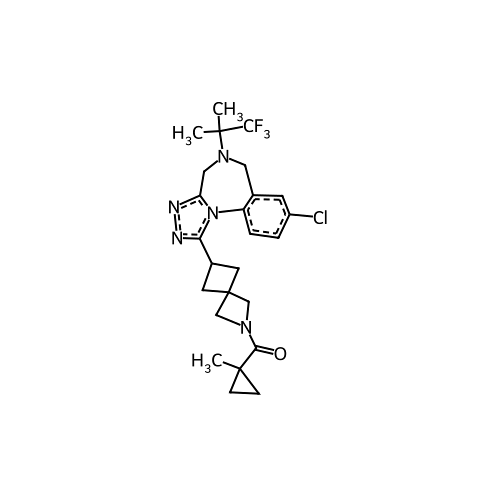 CC1(C(=O)N2CC3(CC(c4nnc5n4-c4ccc(Cl)cc4CN(C(C)(C)C(F)(F)F)C5)C3)C2)CC1